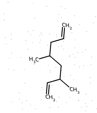 C=CC[C](C)CC(C)C=C